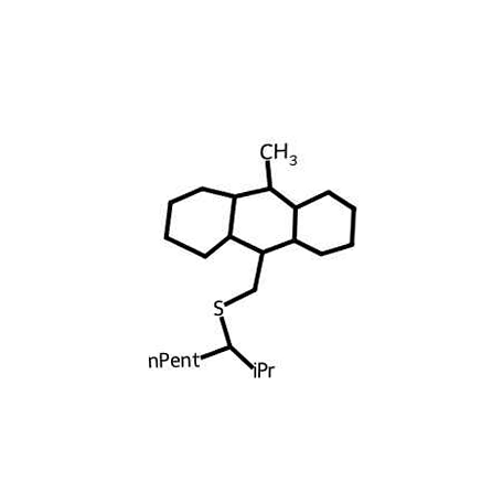 CCCCCC(SCC1C2CCCCC2C(C)C2CCCCC21)C(C)C